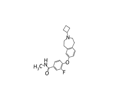 CNC(=O)c1ccc(Oc2ccc3c(c2)CCN(C2CCC2)CC3)c(F)c1